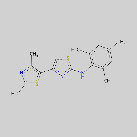 Cc1cc(C)c(Nc2nc(-c3sc(C)nc3C)cs2)c(C)c1